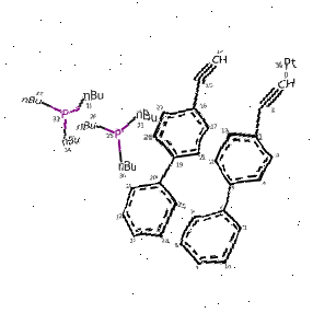 C#Cc1ccc(-c2ccccc2)cc1.C#Cc1ccc(-c2ccccc2)cc1.CCCCP(CCCC)CCCC.CCCCP(CCCC)CCCC.[Pt]